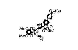 COc1cc(OC)c(Cl)c(N(COCC[Si](C)(C)C)C(=O)N(C)c2cc(N(C(=O)OC(C)(C)C)c3ccc(N4CCN(C(=O)OC(C)(C)C)CC4)cc3[N+](=O)[O-])ncn2)c1Cl